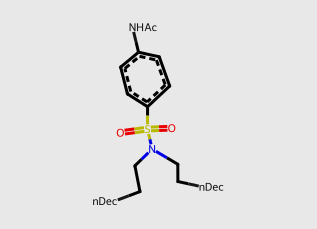 CCCCCCCCCCCCN(CCCCCCCCCCCC)S(=O)(=O)c1ccc(NC(C)=O)cc1